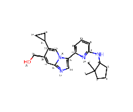 CC1(C)CCCC1Nc1cccc(-c2cnc3cc(CO)c(C4CC4)cn23)n1